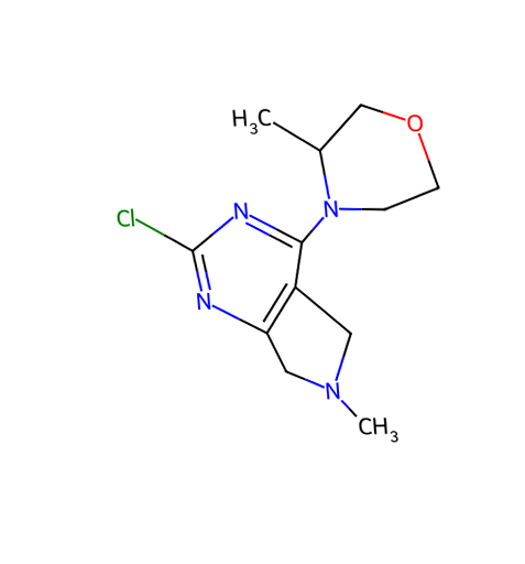 CC1COCCN1c1nc(Cl)nc2c1CN(C)C2